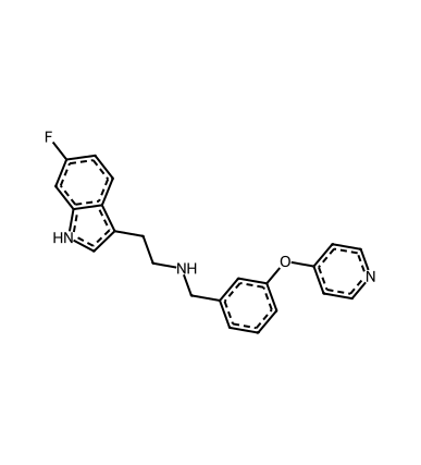 Fc1ccc2c(CCNCc3cccc(Oc4ccncc4)c3)c[nH]c2c1